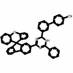 N#Cc1ccc(-c2cccc(C3N=C(c4ccc5c(c4)C4(c6ccccc6Oc6ccccc64)c4ccccc4-5)N=C(c4ccccc4)N3)c2)cc1